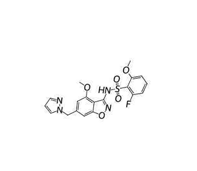 COc1cccc(F)c1S(=O)(=O)Nc1noc2cc(Cn3cccn3)cc(OC)c12